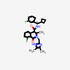 Cc1nc(Cn2c(C)c(C(=O)N[C@H](c3cccc(F)c3)C3CCC3)c3cccc(F)c3c2=O)[nH]c1C